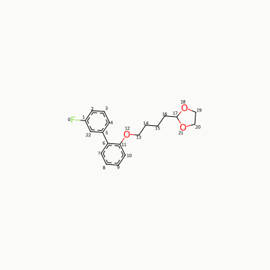 Fc1cccc(-c2ccccc2OCCCCC2OCCO2)c1